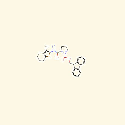 CC(=O)c1c(NC(=O)C2CCCN2C(=O)OCC2c3ccccc3-c3ccccc32)sc2c1CCCC2